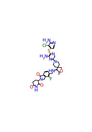 C[C@@H]1OCC2(CCN(c3cnc(Sc4ccnc(N)c4Cl)c(N)n3)CC2)[C@@H]1NCc1ccc2c(c1F)CN(C1CCC(=O)NC1=O)C2=O